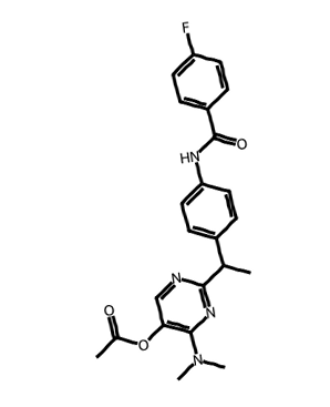 CC(=O)Oc1cnc(C(C)c2ccc(NC(=O)c3ccc(F)cc3)cc2)nc1N(C)C